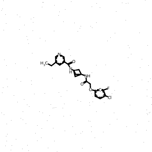 CCc1cncc(C(=O)NC23CC(NC(=O)COc4ccc(Cl)c(F)c4)(C2)C3)c1